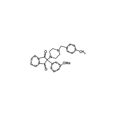 COc1cccc(C2(N3CCN(Cc4ccc(C)cc4)CC3)C(=O)c3ccccc3C2=O)c1